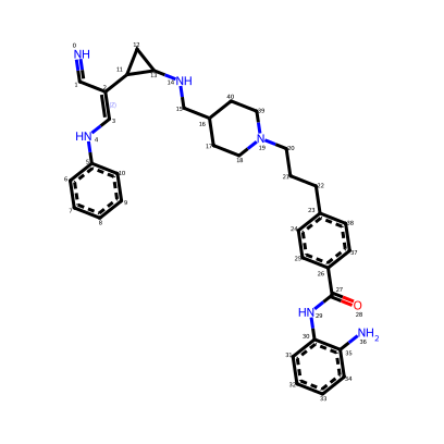 N=C/C(=C\Nc1ccccc1)C1CC1NCC1CCN(CCCc2ccc(C(=O)Nc3ccccc3N)cc2)CC1